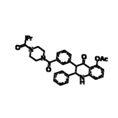 CC(=O)Oc1cccc2c1C(=O)C(c1cccc(C(=O)N3CCN(C(=O)C(C)C)CC3)c1)C(c1ccccc1)N2